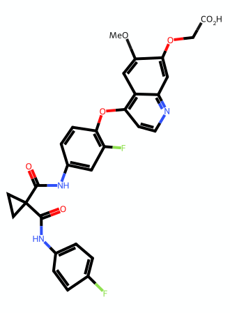 COc1cc2c(Oc3ccc(NC(=O)C4(C(=O)Nc5ccc(F)cc5)CC4)cc3F)ccnc2cc1OCC(=O)O